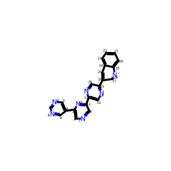 [c]1ncc(-c2cncnc2)nc1-c1cnc(-c2cnc3ccccc3c2)cn1